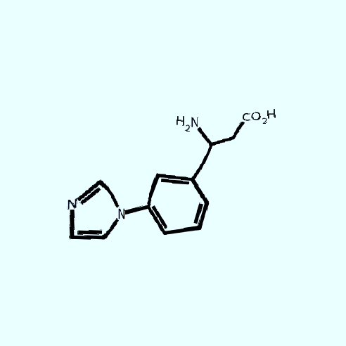 NC(CC(=O)O)c1cccc(-n2ccnc2)c1